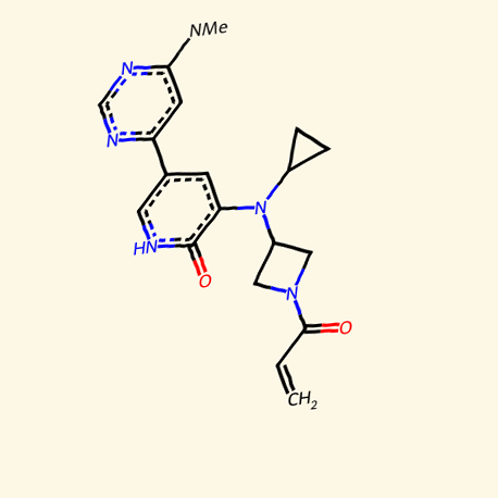 C=CC(=O)N1CC(N(c2cc(-c3cc(NC)ncn3)c[nH]c2=O)C2CC2)C1